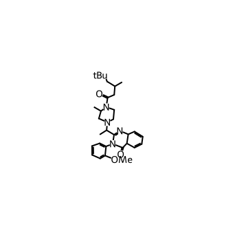 COc1ccccc1N1C(=O)C2C=CC=CC2N=C1C(C)N1CCN(C(=O)CC(C)CC(C)(C)C)C(C)C1